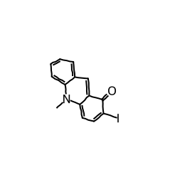 Cn1c2ccc(I)c(=O)c-2cc2ccccc21